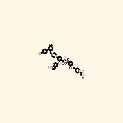 COCC(=O)N1CCC(COc2ccc(S(=O)(=O)NC(=O)c3ccc(N4CCN(CC5=C(c6ccc(Cl)cc6)CC(C)(C)CC5)CC4)cc3Oc3cnc4[nH]ccc4c3)cc2Cl)CC1